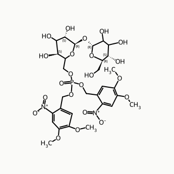 COc1cc(COP(=O)(OCc2cc(OC)c(OC)cc2[N+](=O)[O-])OCC2O[C@H](O[C@H]3O[C@H](CO)[C@@H](O)C(O)C3O)[C@@H](O)C(O)[C@@H]2O)c([N+](=O)[O-])cc1OC